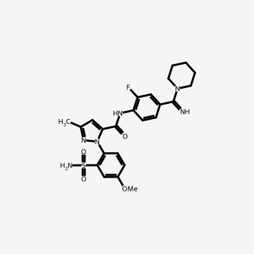 COc1ccc(-n2nc(C)cc2C(=O)Nc2ccc(C(=N)N3CCCCC3)cc2F)c(S(N)(=O)=O)c1